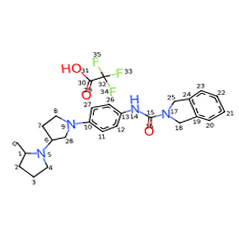 CC1CCCN1C1CCN(c2ccc(NC(=O)N3Cc4ccccc4C3)cc2)C1.O=C(O)C(F)(F)F